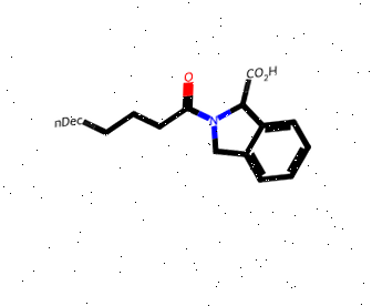 CCCCCCCCCCCCCC(=O)N1Cc2ccccc2C1C(=O)O